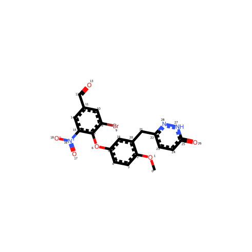 COc1ccc(Oc2c(Br)cc(C=O)cc2[N+](=O)[O-])cc1Cc1ccc(=O)[nH]n1